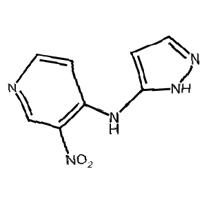 O=[N+]([O-])c1cnccc1Nc1ccn[nH]1